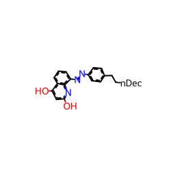 CCCCCCCCCCCCc1ccc(N=Nc2cccc3c(O)cc(O)nc23)cc1